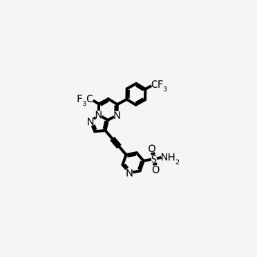 NS(=O)(=O)c1cncc(C#Cc2cnn3c(C(F)(F)F)cc(-c4ccc(C(F)(F)F)cc4)nc23)c1